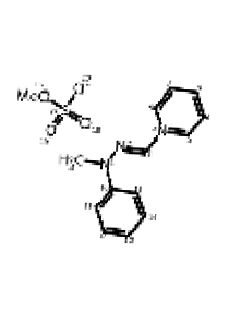 CN(N=C[n+]1ccccc1)c1ccccc1.COS(=O)(=O)[O-]